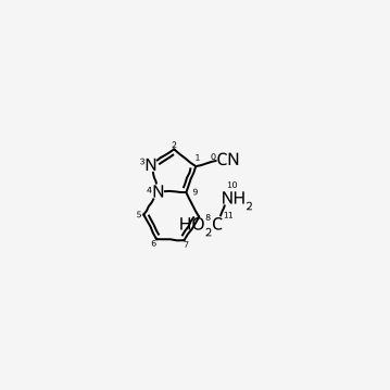 N#Cc1cnn2ccccc12.NC(=O)O